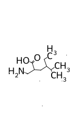 CCC(CC(CN)C(=O)O)C(C)C